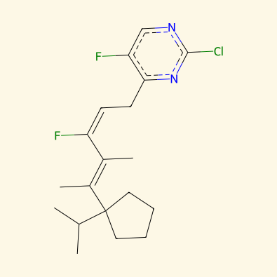 CC(/C(F)=C\Cc1nc(Cl)ncc1F)=C(/C)C1(C(C)C)CCCC1